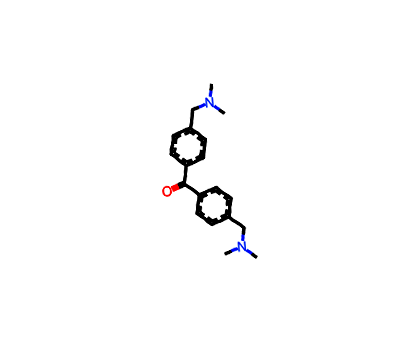 CN(C)Cc1ccc(C(=O)c2ccc(CN(C)C)cc2)cc1